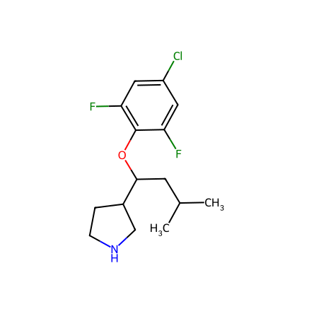 CC(C)CC(Oc1c(F)cc(Cl)cc1F)C1CCNC1